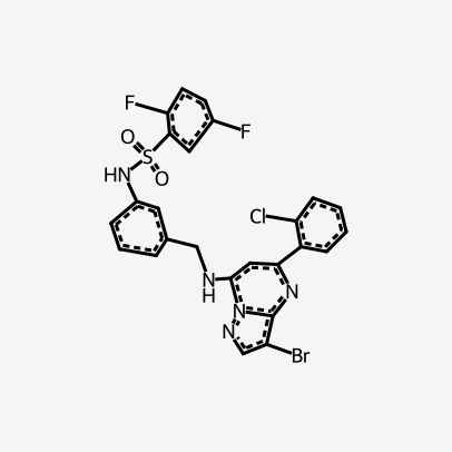 O=S(=O)(Nc1cccc(CNc2cc(-c3ccccc3Cl)nc3c(Br)cnn23)c1)c1cc(F)ccc1F